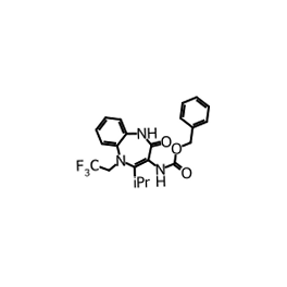 CC(C)C1=C(NC(=O)OCc2ccccc2)C(=O)Nc2ccccc2N1CC(F)(F)F